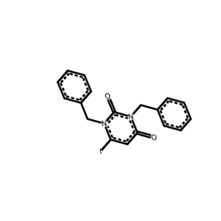 O=c1cc(I)n(Cc2ccccc2)c(=O)n1Cc1ccccc1